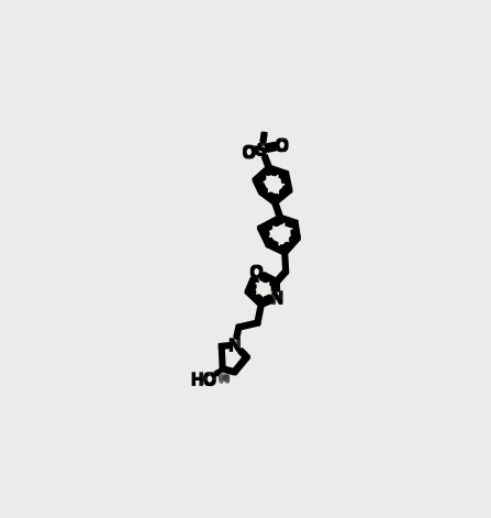 CS(=O)(=O)c1ccc(-c2ccc(Cc3nc(CCN4CC[C@@H](O)C4)co3)cc2)cc1